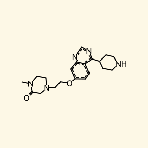 CN1CCN(CCOc2ccc3c(C4CCNCC4)ncnc3c2)CC1=O